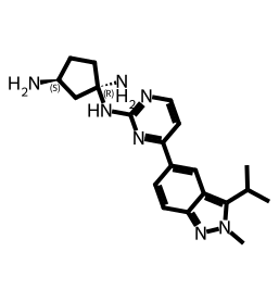 CC(C)c1c2cc(-c3ccnc(N[C@]4(N)CC[C@H](N)C4)n3)ccc2nn1C